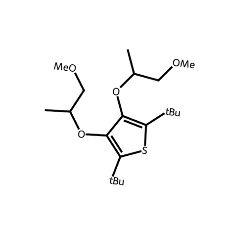 COCC(C)Oc1c(C(C)(C)C)sc(C(C)(C)C)c1OC(C)COC